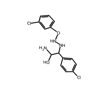 NC(O)C(NNOc1cccc(Cl)c1)c1ccc(Cl)cc1